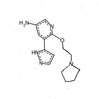 Nc1cnc(OCCN2CCCC2)c(-c2ccn[nH]2)c1